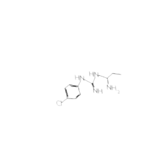 CCC(N)NC(=N)Nc1ccc(Cl)cc1